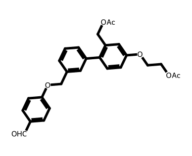 CC(=O)OCCOc1ccc(-c2cccc(COc3ccc(C=O)cc3)c2)c(COC(C)=O)c1